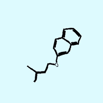 CC(C)CCOc1[c]c2ccccc2cc1